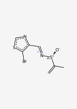 C=C(C)[S@+]([O-])/N=C/c1ncsc1Br